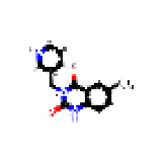 Cc1ccc2[nH]c(=O)n(Cc3cccnc3)c(=O)c2c1